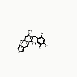 O=c1cc(Cl)n(Cc2cc(F)c(F)cc2F)c(=O)n1Cc1cscn1